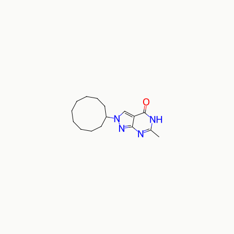 Cc1nc2nn(C3CCCCCCCCC3)cc2c(=O)[nH]1